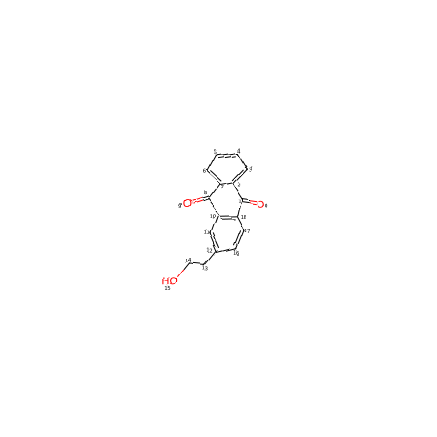 O=C1c2ccccc2C(=O)c2cc(CCO)ccc21